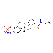 C=CCNC(=O)[C@H]1CC[C@H]2[C@@H]3CCc4cc(NS(=O)(=O)O)ccc4[C@H]3CC[C@]12C